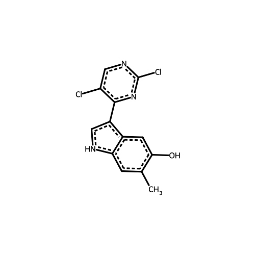 Cc1cc2[nH]cc(-c3nc(Cl)ncc3Cl)c2cc1O